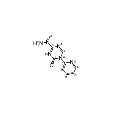 CN(N)c1ncn(-c2ccccn2)c(=O)n1